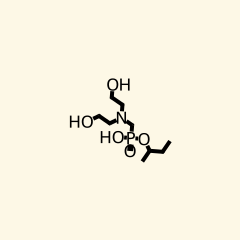 CCC(C)OP(=O)(O)CN(CCO)CCO